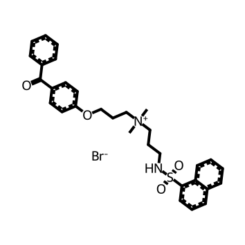 C[N+](C)(CCCNS(=O)(=O)c1cccc2ccccc12)CCCOc1ccc(C(=O)c2ccccc2)cc1.[Br-]